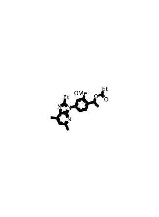 CCC(=O)OC(C)c1ccc(-n2c(CC)nc3c(C)cc(C)nc32)cc1OC